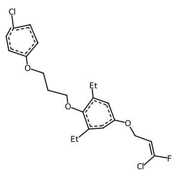 CCc1cc(OC/C=C(/F)Cl)cc(CC)c1OCCCOc1ccc(Cl)cc1